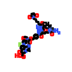 CC(C)C(NC(=O)CCCCCN1C(=O)C=CC1=O)C(=O)N[C@@H](CCCNC(N)=O)C(=O)Nc1ccc(COC(=O)N2CCOC3CN(c4c(F)cc5c(=O)c(C(=O)O)cn(C6CC6)c5c4C#N)C[C@H]32)cc1